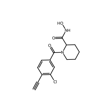 [C]#Cc1ccc(C(=O)N2CCCCC2C(=O)NO)cc1Cl